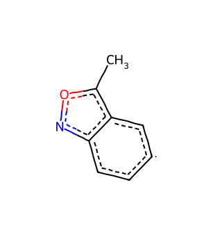 Cc1onc2cc[c]cc12